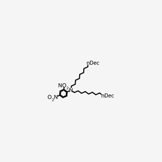 CCCCCCCCCCCCCCCCCCN(CCCCCCCCCCCCCCCCCC)c1ccc([N+](=O)[O-])cc1[N+](=O)[O-]